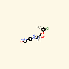 Cc1cc(Cl)cc(OCC(O)CNC(C)(C)CNc2ccc(C3=NNC(=O)CC3)cc2)c1